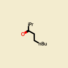 CCCCCCC(=O)C(C)C